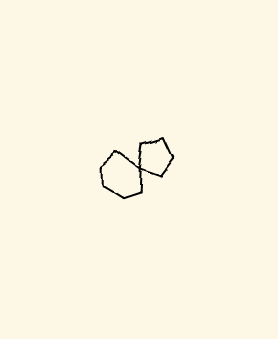 C1CCC2(CC1)CCCC2